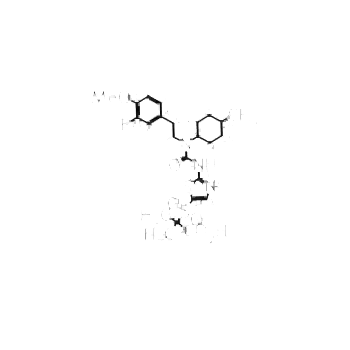 COc1ccc(CCN(C(=O)Nc2ncc(S(=O)(=O)C(C)(C)C(=O)O)s2)C2CCC(C)CC2)cc1F